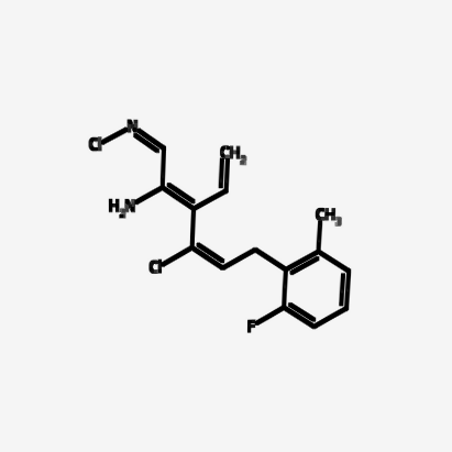 C=CC(=C(N)\C=N/Cl)/C(Cl)=C\Cc1c(C)cccc1F